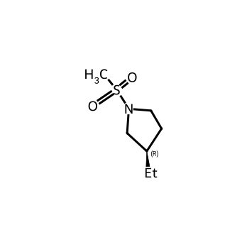 CC[C@@H]1CCN(S(C)(=O)=O)C1